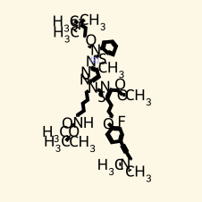 COC(=O)c1nc(N(CCCCCNC(=O)OC(C)(C)C)c2cc(C)c(/N=c3\sc4ccccc4n3COCC[Si](C)(C)C)nn2)sc1CCCOc1ccc(C#CCN(C)C)cc1F